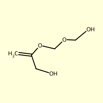 C=C(CO)OCOCO